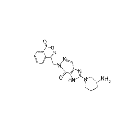 NC1CCCN(c2nc3cnn(Cc4noc(=O)c5ccccc45)c(=O)c3[nH]2)C1